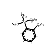 COc1ccccc1[Si](C)(OC)OC